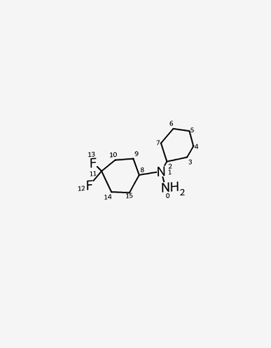 NN(C1CCCCC1)C1CCC(F)(F)CC1